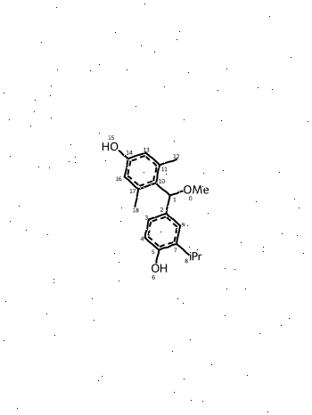 COC(c1ccc(O)c(C(C)C)c1)c1c(C)cc(O)cc1C